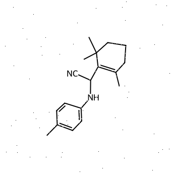 CC1=C(C(C#N)Nc2ccc(C)cc2)C(C)(C)CCC1